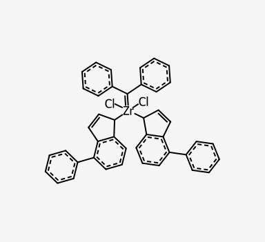 [Cl][Zr]([Cl])(=[C](c1ccccc1)c1ccccc1)([CH]1C=Cc2c(-c3ccccc3)cccc21)[CH]1C=Cc2c(-c3ccccc3)cccc21